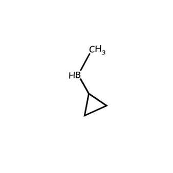 CBC1CC1